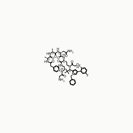 C[C@H](NC(=O)Cc1ccncc1)C(=O)N[C@@H](C)C(=O)N[C@@H](CC(N)=O)C(=O)N[C@@H](CCN(C(=O)CO)[C@@H](c1cc(-c2cc(F)ccc2F)cn1Cc1ccccc1)C(C)(C)C)C(=O)NCCNC(=O)CN